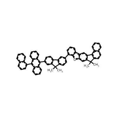 CC1(C)c2ccc(-c3cccc4c3oc3cc5c(cc34)-c3c(ccc4ccccc34)C5(C)C)cc2-c2ccc(-c3c4ccccc4c(-c4cccc5ccccc45)c4ccccc34)cc21